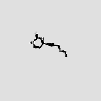 CCCCC#Cc1cc[nH]c(=O)n1